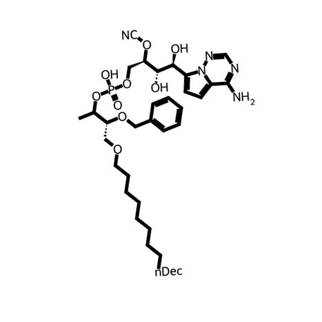 CCCCCCCCCCCCCCCCCCOC[C@@H](OCc1ccccc1)C(C)OP(=O)(O)OC[C@@H](OC#N)[C@@H](O)[C@@H](O)c1ccc2c(N)ncnn12